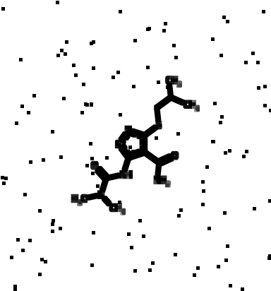 CC(C)CSc1nsc(NC(=O)N(C)C)c1C(N)=O